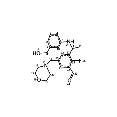 C[C](Nc1cccc(CO)c1)c1cc(CN2CCOCC2)cc(C=O)c1F